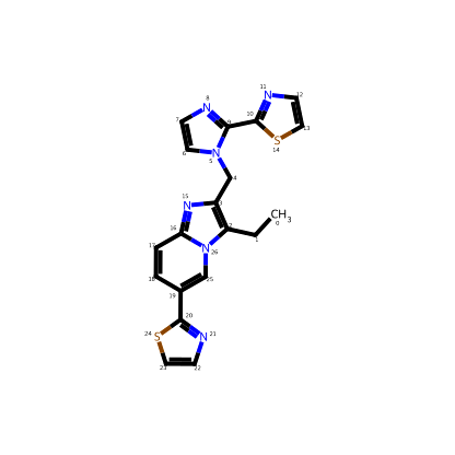 CCc1c(Cn2ccnc2-c2nccs2)nc2ccc(-c3nccs3)cn12